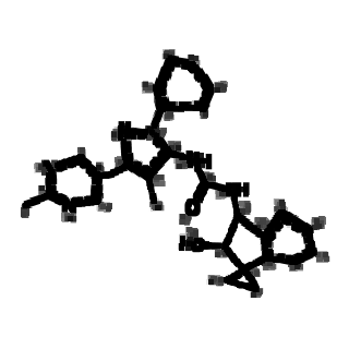 Cc1ncc(-c2nn(-c3ccccc3)c(NC(=O)NC3c4ccccc4C4(CC4)[C@H]3O)c2C)cn1